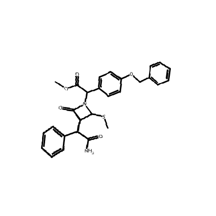 COC(=O)C(c1ccc(OCc2ccccc2)cc1)N1C(=O)C(C(C(N)=O)c2ccccc2)C1SC